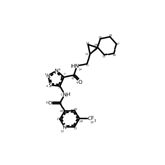 O=C(Nc1snnc1C(=O)NCC1CC12CCCCC2)c1cncc(C(F)(F)F)c1